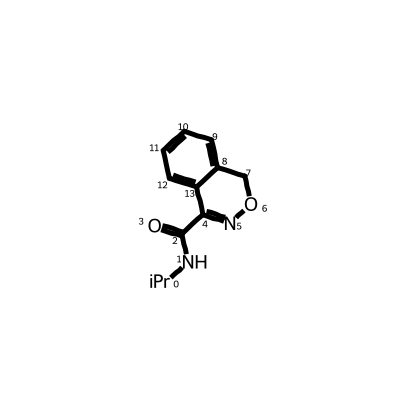 CC(C)NC(=O)C1=NOCc2ccccc21